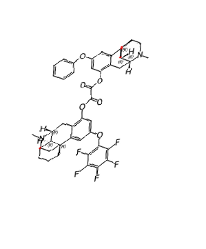 CN1CC[C@]23CCCC[C@H]2[C@H]1Cc1c(OC(=O)C(=O)Oc2cc(Oc4c(F)c(F)c(F)c(F)c4F)cc4c2C[C@@H]2[C@@H]5CCCC[C@]45CCN2C)cc(Oc2ccccc2)cc13